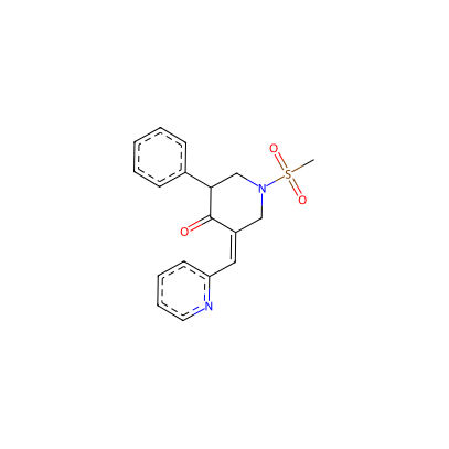 CS(=O)(=O)N1CC(=Cc2ccccn2)C(=O)C(c2ccccc2)C1